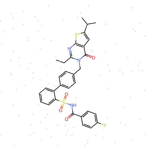 CCc1nc2sc(C(C)C)cc2c(=O)n1Cc1ccc(-c2ccccc2S(=O)(=O)NC(=O)c2ccc(F)cc2)cc1